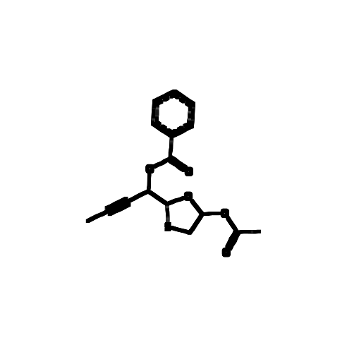 CC#CC(OC(=O)c1ccccc1)C1OC(OC(C)=O)CS1